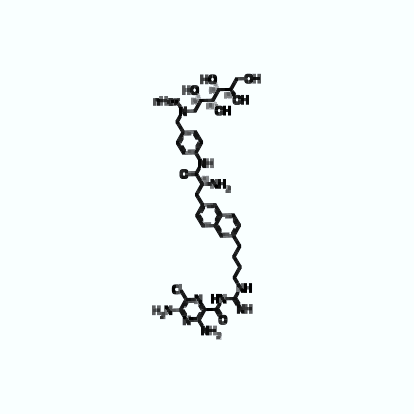 CCCCCCN(Cc1ccc(NC(=O)[C@@H](N)Cc2ccc3cc(CCCCNC(=N)NC(=O)c4nc(Cl)c(N)nc4N)ccc3c2)cc1)C[C@H](O)[C@@H](O)[C@H](O)[C@H](O)CO